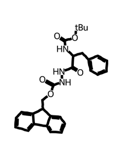 CC(C)(C)OC(=O)NC(Cc1ccccc1)C(=O)NNC(=O)OCC1c2ccccc2-c2ccccc21